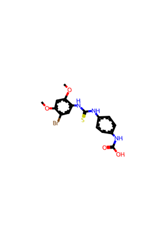 COc1cc(OC)c(NC(=S)Nc2ccc(NC(=O)O)cc2)cc1Br